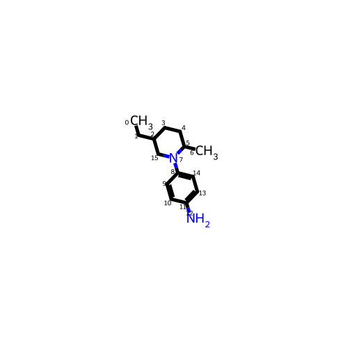 CCC1CCC(C)N(c2ccc(N)cc2)C1